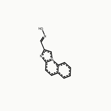 ON=Cc1cn2c(ccc3ccccc32)n1